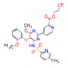 COc1ccccc1Oc1c(NS(=O)(=O)c2ccc(C)cn2)nc(-c2ccnc(C(=O)OCCO)c2)nc1OC